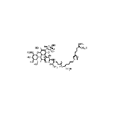 COP(=O)(O)P(=O)(O)O[C@H]1O[C@H](CO)C(O[C@@H]2O[C@H](CO)[C@@H](O)[C@H](O)[C@H]2NC(C)=O)[C@H](O[C@H](C)C(=O)N[C@@H](C)C(=O)N[C@H](CCC(=O)N[C@H](CCCCn2cc(CCCC(NC(C)=O)C(=O)O)nn2)C(=O)O)C(N)=O)[C@H]1NC(C)=O